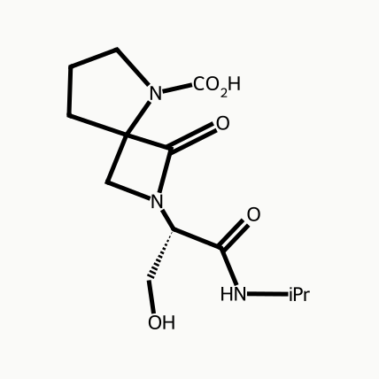 CC(C)NC(=O)[C@H](CO)N1CC2(CCCN2C(=O)O)C1=O